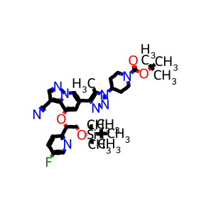 Cc1c(-c2cc(OC(CO[Si](C)(C)C(C)(C)C)c3ccc(F)cn3)c3c(C#N)cnn3c2)nnn1C1CCN(C(=O)OC(C)(C)C)CC1